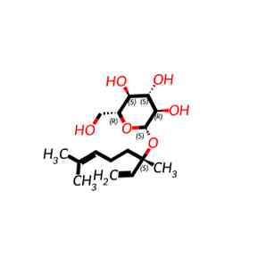 C=C[C@](C)(CCC=C(C)C)O[C@@H]1O[C@H](CO)[C@@H](O)[C@H](O)[C@H]1O